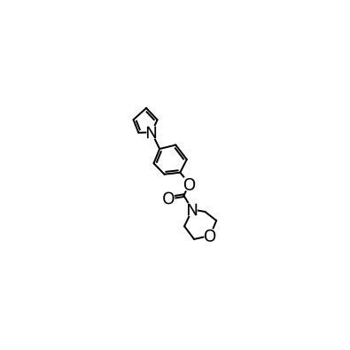 O=C(Oc1ccc(-n2cccc2)cc1)N1CCOCC1